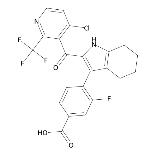 O=C(O)c1ccc(-c2c(C(=O)c3c(Cl)ccnc3C(F)(F)F)[nH]c3c2CCCC3)c(F)c1